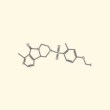 Cc1cc(OCF)ccc1S(=O)(=O)N1CCN2C(=O)c3c(ccnc3C)C2C1